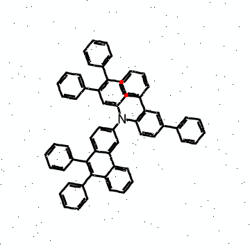 c1ccc(-c2ccc(N(c3ccc(-c4ccccc4)c(-c4ccccc4)c3)c3ccc4c(-c5ccccc5)c(-c5ccccc5)c5ccccc5c4c3)c(-c3ccccc3)c2)cc1